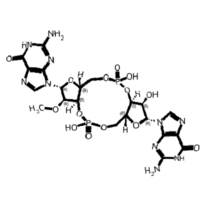 CO[C@@H]1[C@@H]2OP(=O)(O)OC[C@H]3O[C@@H](n4cnc5c(=O)[nH]c(N)nc54)[C@H](O)[C@@H]3OP(=O)(O)OC[C@H]2O[C@H]1n1cnc2c(=O)[nH]c(N)nc21